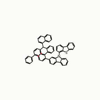 c1ccc(-c2ccc(C(c3ccccc3-c3ccccc3-c3ccc4c5ccccc5n(-c5cccc6c5sc5ccccc56)c4c3)c3cccc4ccccc34)cc2)cc1